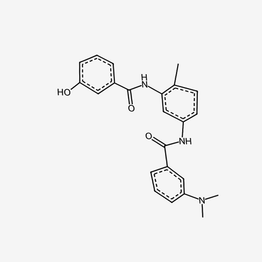 Cc1ccc(NC(=O)c2cccc(N(C)C)c2)cc1NC(=O)c1cccc(O)c1